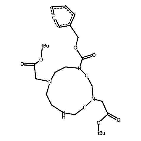 CC(C)(C)OC(=O)CN1CCNCCN(CC(=O)OC(C)(C)C)CCN(C(=O)OCc2ccccc2)CC1